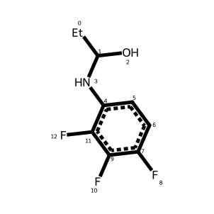 CCC(O)Nc1ccc(F)c(F)c1F